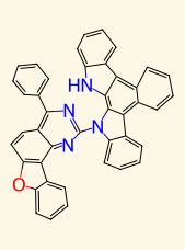 c1ccc(-c2nc(-n3c4ccccc4c4c5ccccc5c5c6ccccc6[nH]c5c43)nc3c2ccc2oc4ccccc4c23)cc1